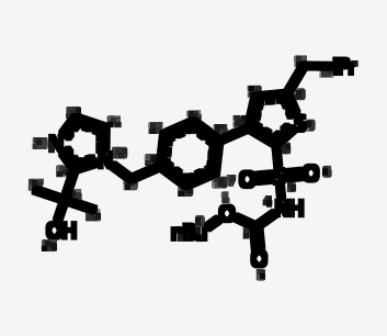 CCCCOC(=O)NS(=O)(=O)c1sc(CC(C)C)cc1-c1ccc(Cn2ccnc2C(C)(C)O)cc1